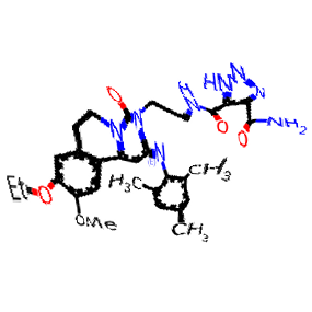 CCOc1cc2c(cc1OC)-c1c/c(=N\c3c(C)cc(C)cc3C)n(CCNC(=O)c3[nH]nnc3C(N)=O)c(=O)n1CC2